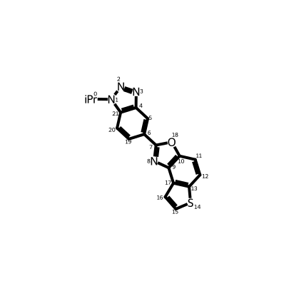 CC(C)n1nnc2cc(-c3nc4c(ccc5sccc54)o3)ccc21